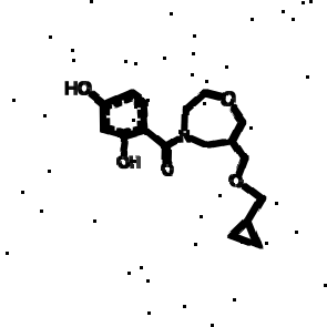 O=C(c1ccc(O)cc1O)N1CCOCC(COCC2CC2)C1